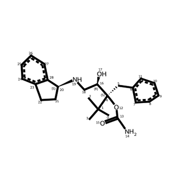 CC(C)(C)[C@](Cc1ccccc1)(OC(N)=O)[C@H](O)CN[C@H]1CCc2ccccc21